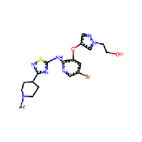 CC(=O)N1CCC(c2nsc(Nc3ncc(Br)cc3Oc3cnn(CCO)c3)n2)CC1